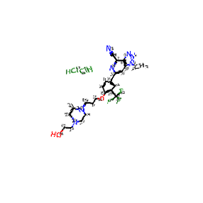 Cl.Cl.Cn1nnc2c(C#N)nc(-c3ccc(OCCCN4CCN(CCO)CC4)c(C(F)(F)F)c3)cc21